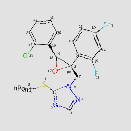 CCCCCSc1ncnn1C[C@@]1(c2ccc(F)cc2F)O[C@H]1c1ccccc1Cl